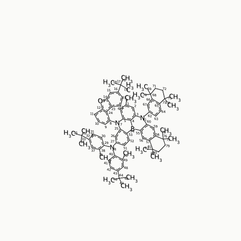 Cc1cc2c3c(c1)N(c1cccc4oc5cc(C(C)(C)C)ccc5c14)c1cc(N(c4ccc(C(C)(C)C)cc4C)c4ccc(C(C)(C)C)cc4C)ccc1B3c1cc3c(cc1N2c1ccc2c(c1)C(C)(C)CCC2(C)C)C(C)(C)CCC3(C)C